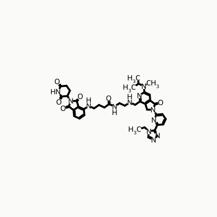 CCn1cnnc1-c1cccc(N2Cc3c(cc(N(C)C(C)C)nc3CNCCNC(=O)CCCNc3cccc4c3C(=O)N(C3CCC(=O)NC3=O)C4=O)C2=O)n1